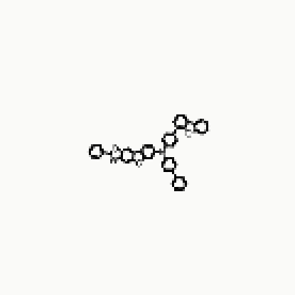 c1ccc(-c2ccc(N(c3ccc(-c4cccc5c4oc4ccccc45)cc3)c3ccc4c(c3)oc3cc5nc(-c6ccccc6)oc5cc34)cc2)cc1